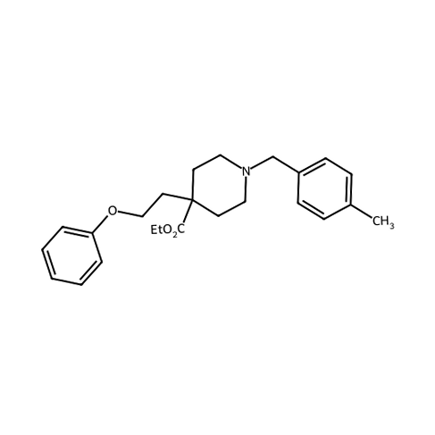 CCOC(=O)C1(CCOc2ccccc2)CCN(Cc2ccc(C)cc2)CC1